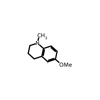 COc1[c]c2c(cc1)N(C)CCC2